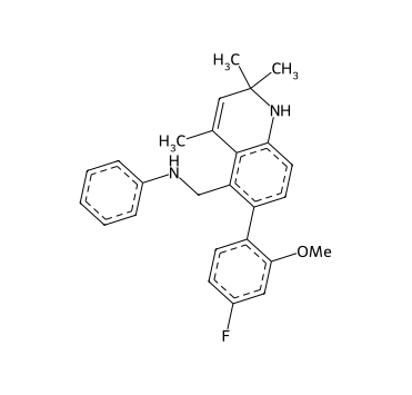 COc1cc(F)ccc1-c1ccc2c(c1CNc1ccccc1)C(C)=CC(C)(C)N2